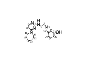 CN(CCNc1nccc(N2CCCCCC2)n1)Cc1cccc(O)c1